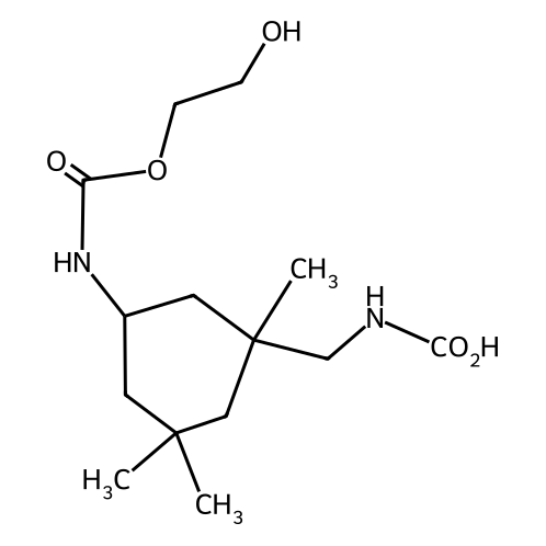 CC1(C)CC(NC(=O)OCCO)CC(C)(CNC(=O)O)C1